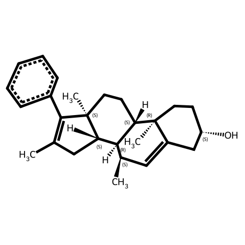 CC1=C(c2ccccc2)[C@@]2(C)CC[C@H]3[C@@H]([C@H](C)C=C4C[C@@H](O)CC[C@@]43C)[C@@H]2C1